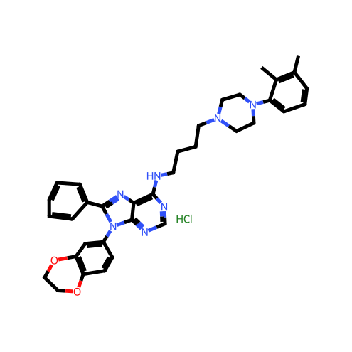 Cc1cccc(N2CCN(CCCCNc3ncnc4c3nc(-c3ccccc3)n4-c3ccc4c(c3)OCCO4)CC2)c1C.Cl